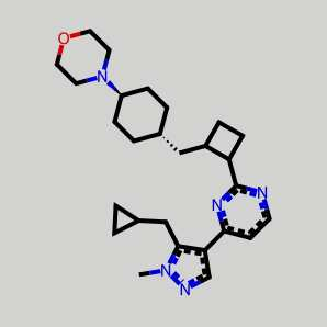 Cn1ncc(-c2ccnc(C3CCC3C[C@H]3CC[C@H](N4CCOCC4)CC3)n2)c1CC1CC1